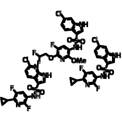 COc1nc(OCC(F)F)c(F)cc1NS(=O)(=O)c1c[nH]c2cc(Cl)ccc12.O=S(=O)(Nc1cc(F)c(C2CC2)nc1F)c1c[nH]c2cc(Cl)ccc12.O=S(=O)(Nc1cc(F)c(C2CC2)nc1F)c1c[nH]c2nc(Cl)ccc12